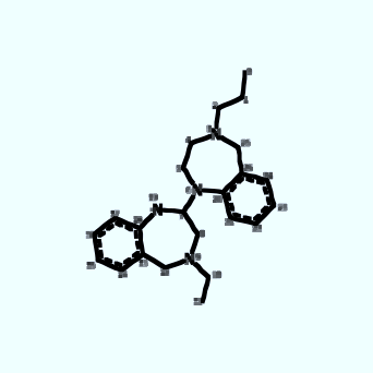 CCCN1CCN(C2CN(CC)Cc3ccccc3[N]2)c2ccccc2C1